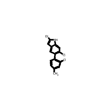 CCc1cc2cc(-c3ccc(C)cc3Cl)c(Cl)cc2[nH]1